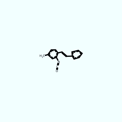 Cc1ccc(C=Cc2ccccc2)c(N=C=O)c1